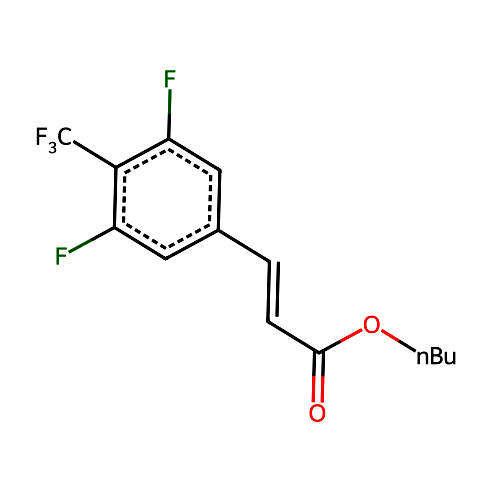 CCCCOC(=O)C=Cc1cc(F)c(C(F)(F)F)c(F)c1